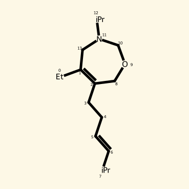 CCC1=C(CCC=CC(C)C)COCN(C(C)C)C1